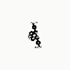 O=C(O)c1ccc(-c2ccc(-c3ccc(-c4ccc(C(=O)O)cc4)cn3)nc2)cc1.[Cl][Ru][Cl].c1ccc(-c2ccccn2)nc1